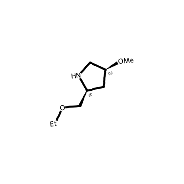 CCOC[C@@H]1C[C@H](OC)CN1